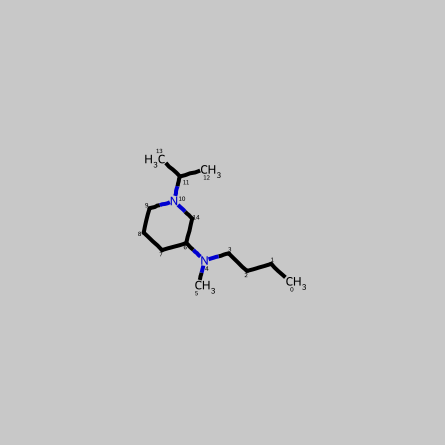 CCCCN(C)C1CCCN(C(C)C)C1